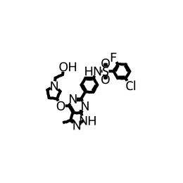 Cc1n[nH]c2nc(-c3ccc(NS(=O)(=O)c4cc(Cl)ccc4F)cc3)nc(OC3CCN(CCO)C3)c12